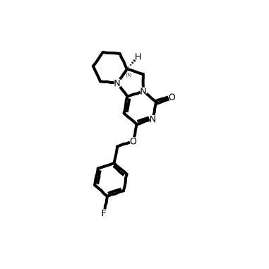 O=c1nc(OCc2ccc(F)cc2)cc2n1C[C@@H]1CCCCN21